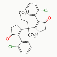 O=C(O)CCC(C(=O)O)(C1=C(c2ccccc2Cl)C(=O)CC1)C1=C(c2ccccc2Cl)C(=O)CC1